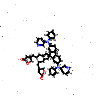 O=C1C=C(CCCCCC2(CCCCCC3=CC(=O)OC3)c3cc(N(c4ccccc4)c4cccnc4)ccc3-c3ccc(N(c4ccccc4)c4cccnc4)cc32)CO1